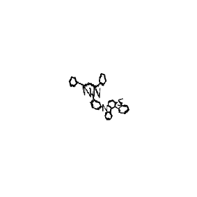 c1ccc(-c2cc(-c3ccccc3)nc(-c3cccc(-n4c5ccccc5c5c6c(ccc54)sc4ccccc46)c3)n2)cc1